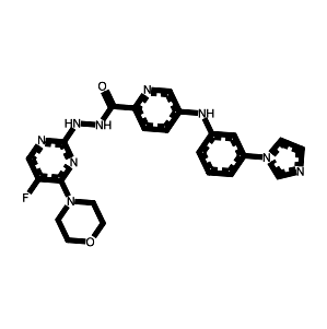 O=C(NNc1ncc(F)c(N2CCOCC2)n1)c1ccc(Nc2cccc(-n3ccnc3)c2)cn1